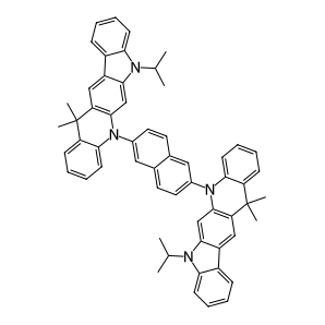 CC(C)n1c2ccccc2c2cc3c(cc21)N(c1ccc2cc(N4c5ccccc5C(C)(C)c5cc6c7ccccc7n(C(C)C)c6cc54)ccc2c1)c1ccccc1C3(C)C